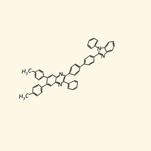 Cc1ccc(-c2cc3nc(-c4ccccc4)c(-c4ccc(-c5ccc(-c6nc7ccccc7n6-c6ccccc6)cc5)cc4)nc3cc2-c2ccc(C)cc2)cc1